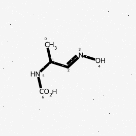 CC(C=NO)NC(=O)O